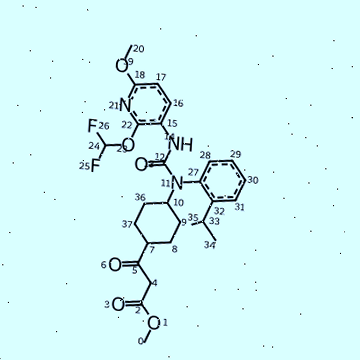 COC(=O)CC(=O)C1CCC(N(C(=O)Nc2ccc(OC)nc2OC(F)F)c2ccccc2C(C)C)CC1